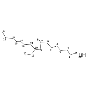 CCCCCCCC(C)CC(CC)CCCCCCC.[LiH]